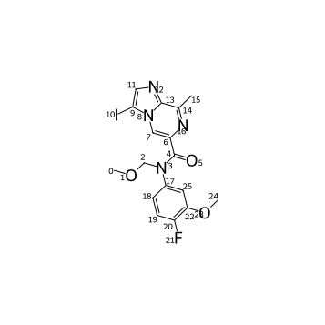 COCN(C(=O)c1cn2c(I)cnc2c(C)n1)c1ccc(F)c(OC)c1